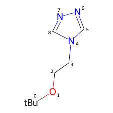 CC(C)(C)OCCn1cnnc1